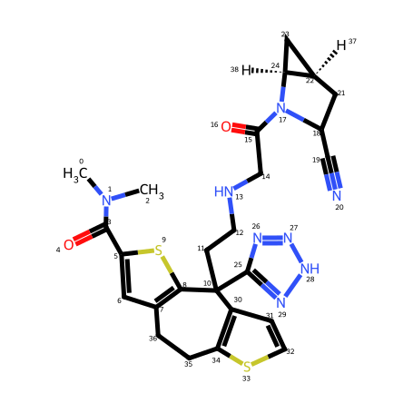 CN(C)C(=O)c1cc2c(s1)C(CCNCC(=O)N1C(C#N)C[C@@H]3C[C@@H]31)(c1nn[nH]n1)c1ccsc1CC2